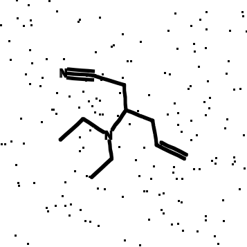 C=CCC(CC#N)N(CC)CC